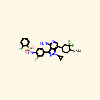 CNC1CCC(c2cnc(N)c3c(-c4ccc(NS(=O)(=O)c5ccccc5Cl)c(F)c4)nn(C4CC4)c23)CC1(F)F